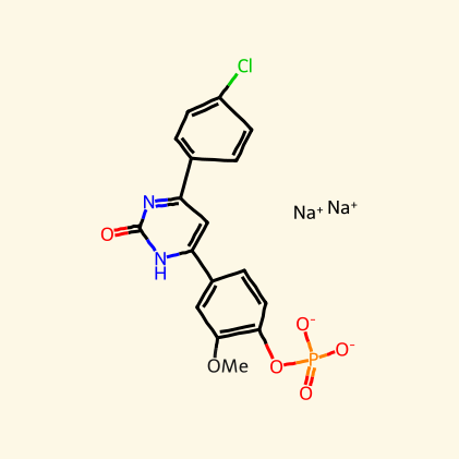 COc1cc(-c2cc(-c3ccc(Cl)cc3)nc(=O)[nH]2)ccc1OP(=O)([O-])[O-].[Na+].[Na+]